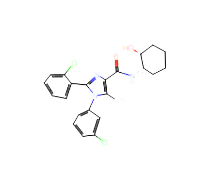 CCCc1c(C(=O)N[C@H]2CCCC[C@@H]2O)nc(-c2ccccc2Cl)n1-c1cccc(Cl)c1